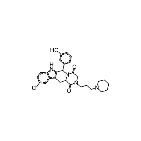 O=C1C2Cc3c([nH]c4ccc(Cl)cc34)C(c3cccc(O)c3)N2C(=O)CN1CCCN1CCCCC1